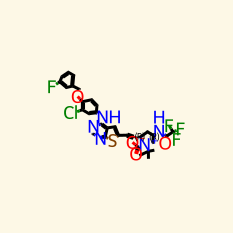 CC(C)(C)[N+]1(C(=O)[O-])C[C@H](NC(=O)C(F)(F)F)C[C@@H]1C#Cc1cc2c(Nc3ccc(OCc4cccc(F)c4)c(Cl)c3)ncnc2s1